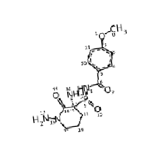 COc1ccc(C(=O)N[PH](=O)[C@@]2(N)CCCN(N)C2=O)cc1